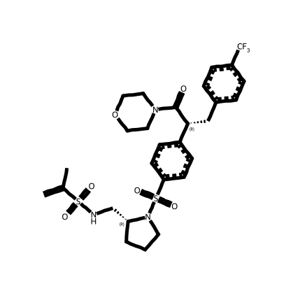 C=C(C)S(=O)(=O)NC[C@H]1CCCN1S(=O)(=O)c1ccc([C@@H](Cc2ccc(C(F)(F)F)cc2)C(=O)N2CCOCC2)cc1